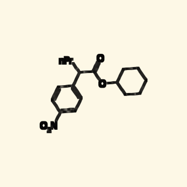 CCCC(C(=O)OC1CCCCC1)c1ccc([N+](=O)[O-])cc1